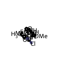 CCSC(C)CC1CC(=O)C(/C(CC)=N/OC/C=C/Cl)=C(O)C1.COC(=O)c1ccccc1S(=O)(=O)NC(=O)Nc1nc(C)nc(OC)n1